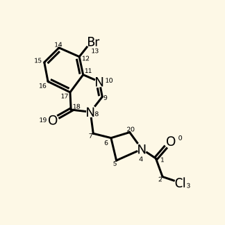 O=C(CCl)N1CC(Cn2cnc3c(Br)cccc3c2=O)C1